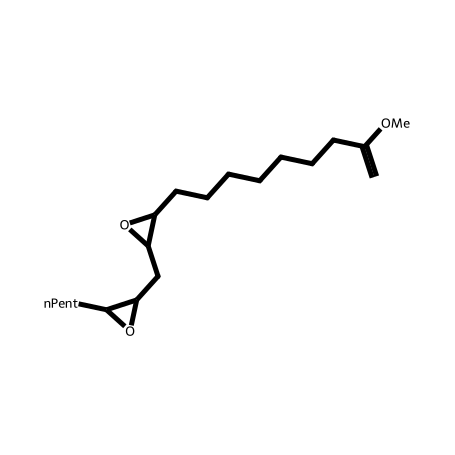 C=C(CCCCCCCC1OC1CC1OC1CCCCC)OC